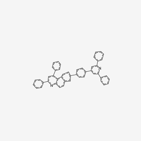 c1ccc(-c2cc(-c3ccc(-c4ccc5c(ccc6nc(-c7ccccc7)cc(-c7ccccc7)c65)c4)cc3)cc(-c3ccccc3)n2)cc1